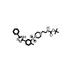 Cc1ccc(-c2nnc(-c3ccccc3)[nH]2)cc1S(=O)(=O)N1CCN(CCNC(=O)OC(C)(C)C)CC1